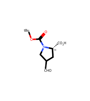 CC(C)(C)OC(=O)N1CC(C=O)C[C@H]1C(=O)O